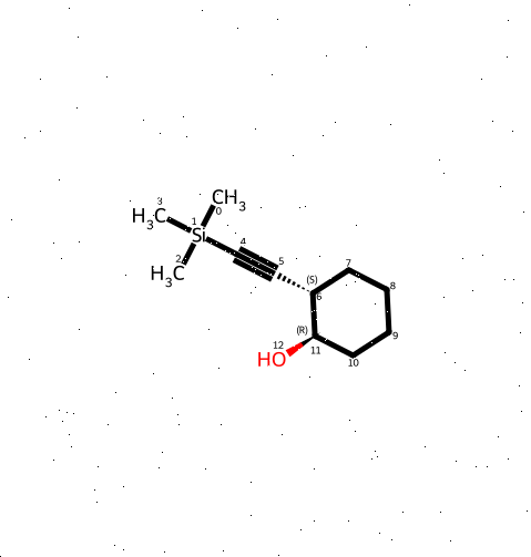 C[Si](C)(C)C#C[C@@H]1CCCC[C@H]1O